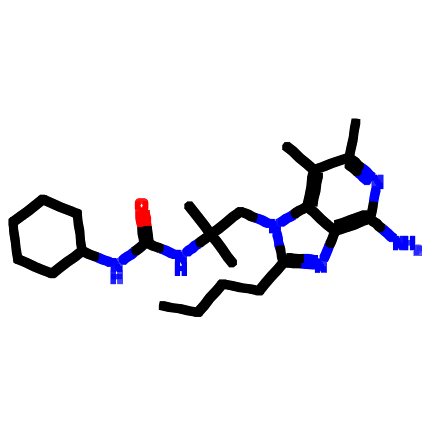 CCCCc1nc2c(N)nc(C)c(C)c2n1CC(C)(C)NC(=O)NC1CCCCC1